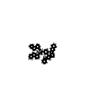 c1ccc2cc3c(cc2c1)c1ccccc1n3-c1ccc(-c2nc(-c3cccc4c3ccc3ccccc34)nc(-c3cccc4c3ccc3ccccc34)n2)cc1-c1cccc2c1oc1ccccc12